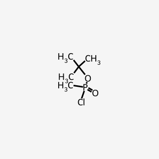 CC(C)(C)OP(C)(=O)Cl